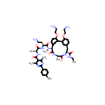 CCC[C@H](NC(=O)c1c(C)nc(-c2ccc(C(C)(C)C)cc2)nc1C)C(=O)N[C@@H](CCN)C(=O)N(C)[C@@H]1C(=O)N[C@@H](C)C(=O)N[C@H](C(=O)NCC#N)Cc2ccc(OCCN)c(c2)-c2cc1ccc2OCCN